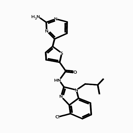 CC(C)Cn1c(NC(=O)c2ccc(-c3ccnc(N)n3)s2)nc2c(Cl)cccc21